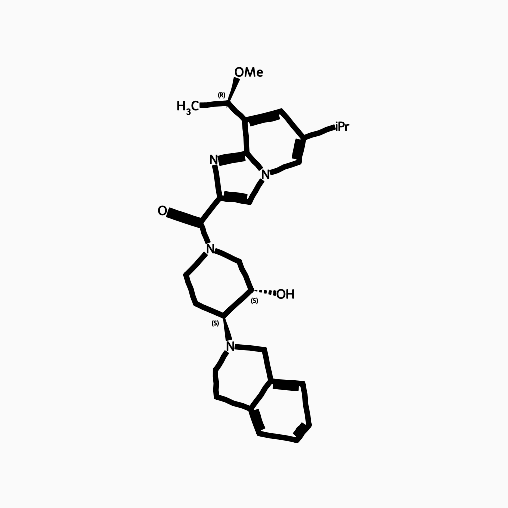 CO[C@H](C)c1cc(C(C)C)cn2cc(C(=O)N3CC[C@H](N4CCc5ccccc5C4)[C@@H](O)C3)nc12